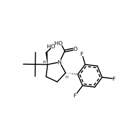 CC(C)(C)[C@@]1(CO)CC[C@@H](c2c(F)cc(F)cc2F)N1C(=O)O